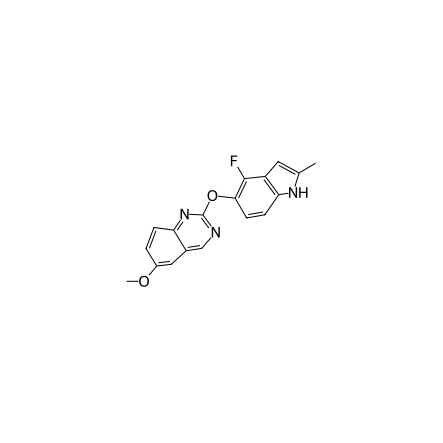 COc1ccc2nc(Oc3ccc4[nH]c(C)cc4c3F)ncc2c1